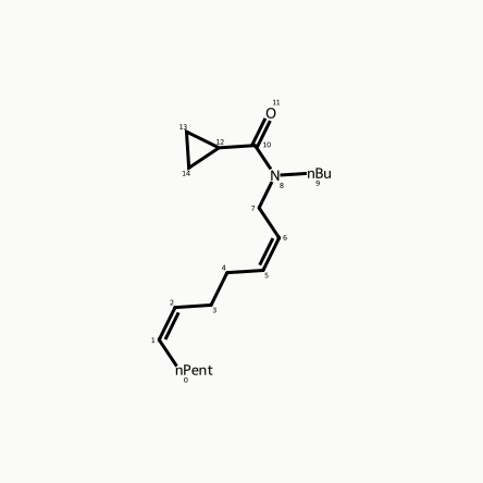 CCCCC/C=C\CC/C=C\CN(CCCC)C(=O)C1CC1